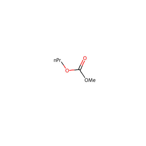 [CH]OC(=O)OCCC